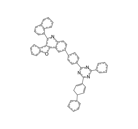 C1=CC(c2ccccc2)CC=C1c1nc(-c2ccccc2)nc(-c2ccc(-c3ccc4nc(-c5cccc6ccccc56)c5c6ccccc6oc5c4c3)cc2)n1